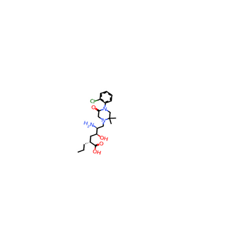 CCC[C@H](C[C@H](O)[C@@H](N)CN1CC(=O)N(c2ccccc2Cl)CC1(C)C)C(=O)O